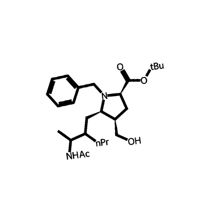 CCCC(C[C@@H]1[C@H](CO)C[C@H](C(=O)OC(C)(C)C)N1Cc1ccccc1)C(C)NC(C)=O